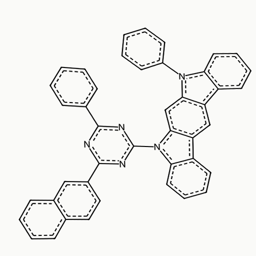 c1ccc(-c2nc(-c3ccc4ccccc4c3)nc(-n3c4ccccc4c4cc5c6ccccc6n(-c6ccccc6)c5cc43)n2)cc1